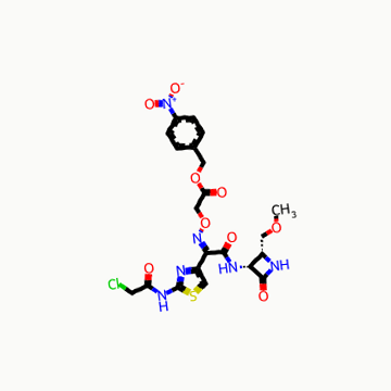 COC[C@@H]1NC(=O)[C@@H]1NC(=O)/C(=N\OCC(=O)OCc1ccc([N+](=O)[O-])cc1)c1csc(NC(=O)CCl)n1